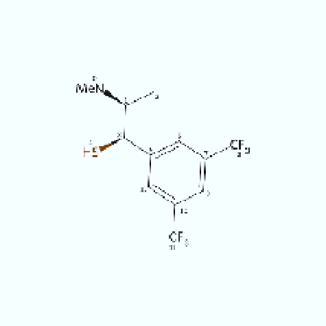 CN[C@@H](C)[C@H](S)c1cc(C(F)(F)F)cc(C(F)(F)F)c1